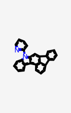 c1ccc(-n2c3ccccc3c3c4cccc5c4c(cc32)-c2ccccc2-5)nc1